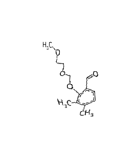 COCCOCOc1c(C=O)ccc(C)c1C